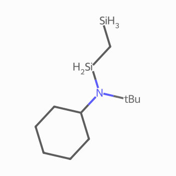 CC(C)(C)N([SiH2]C[SiH3])C1CCCCC1